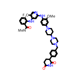 CNC(=O)c1ccccc1Nc1cc(Nc2ccc(N3CCC(N4CCN(Cc5ccc(C6CCC(=O)NC6=O)cc5)CC4)CC3)cc2OC)ncc1C(F)(F)F